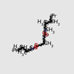 C/C(=C\COC(=O)CCCCCC(C)CCCCCC(=O)OC/C=C(\C)CCCC(C)CCCC(C)CCCC(C)C)CCCC(C)CCCC(C)CCCC(C)C